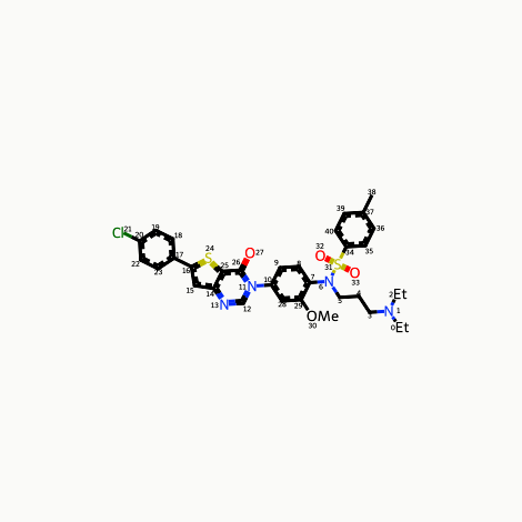 CCN(CC)CCCN(c1ccc(-n2cnc3cc(-c4ccc(Cl)cc4)sc3c2=O)cc1OC)S(=O)(=O)c1ccc(C)cc1